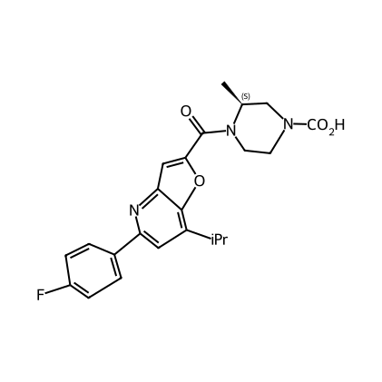 CC(C)c1cc(-c2ccc(F)cc2)nc2cc(C(=O)N3CCN(C(=O)O)C[C@@H]3C)oc12